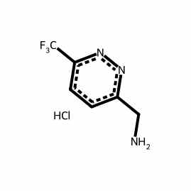 Cl.NCc1ccc(C(F)(F)F)nn1